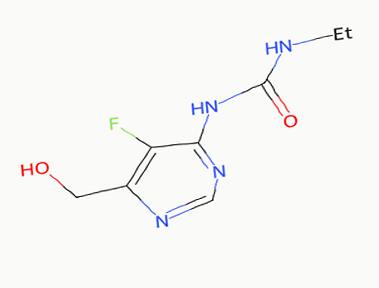 CCNC(=O)Nc1ncnc(CO)c1F